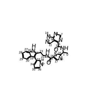 CC(NC(=O)c1ncnc2c1cnn2C)c1ncc(C(=O)NCCc2[nH]c3ccccc3c2-c2cccnc2)s1